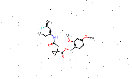 C=C(F)/C=C(\CC)NC(=O)CC1(C(=O)OCc2ccc(OC)cc2OC)CC1